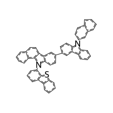 c1ccc2cc(-n3c4ccccc4c4cc(-c5ccc6c(c5)c5ccc7ccccc7c5n6-c5cccc6c5sc5ccccc56)ccc43)ccc2c1